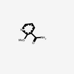 CSc1ncccc1C(N)=O